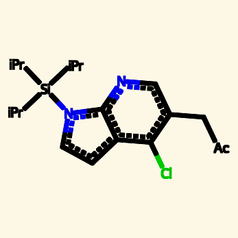 CC(=O)Cc1cnc2c(ccn2[Si](C(C)C)(C(C)C)C(C)C)c1Cl